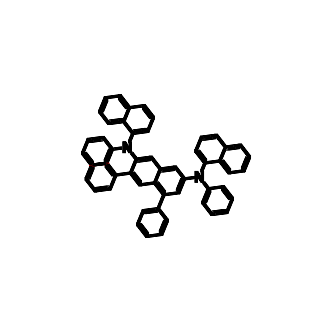 c1ccc(-c2cc3c(-c4ccccc4)cc(N(c4ccccc4)c4cccc5ccccc45)cc3cc2N(c2ccccc2)c2cccc3ccccc23)cc1